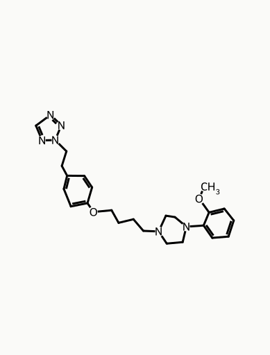 COc1ccccc1N1CCN(CCCCOc2ccc(CCn3ncnn3)cc2)CC1